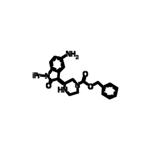 CC(C)N1C(=O)/C(=C2/CN(C(=O)OCc3ccccc3)CCN2)c2cc(N)ccc21